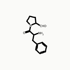 NC(Cc1ccccc1)C(=O)N1CCCC1[C]=O